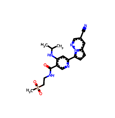 CC(C)Nc1cc(-c2ccc3cc(C#N)cnn23)ncc1C(=O)NCCS(C)(=O)=O